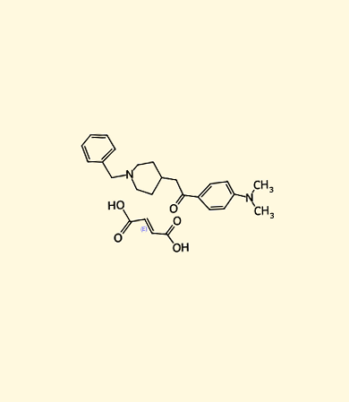 CN(C)c1ccc(C(=O)CC2CCN(Cc3ccccc3)CC2)cc1.O=C(O)/C=C/C(=O)O